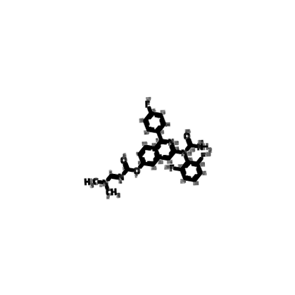 CN(C)/C=N/C(=O)Oc1ccc2c(-c3ccc(F)cc3)nc(N(C(N)=O)c3c(F)cccc3F)cc2c1